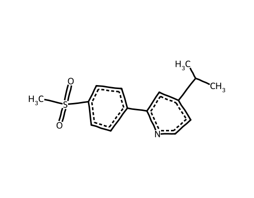 CC(C)c1ccnc(-c2ccc(S(C)(=O)=O)cc2)c1